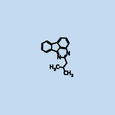 CC(C)Cc1nc2c3c(cccc3n1)-c1ccccc1-2